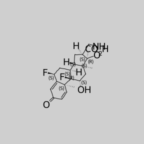 C[C@]12C=CC(=O)C=C1[C@@H](F)C[C@H]1[C@@H]3C[C@H]4CNO[C@@]4(C(=O)O)[C@@]3(C)C[C@H](O)[C@@]12F